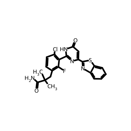 CC(C)(Cc1ccc(Cl)c(-c2nc(-c3nc4ccccc4s3)cc(=O)[nH]2)c1F)C(N)=O